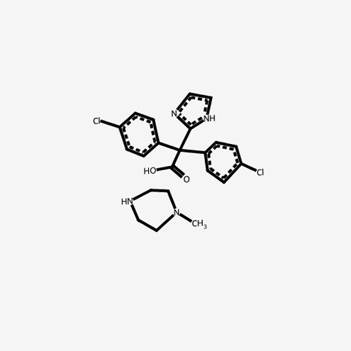 CN1CCNCC1.O=C(O)C(c1ccc(Cl)cc1)(c1ccc(Cl)cc1)c1ncc[nH]1